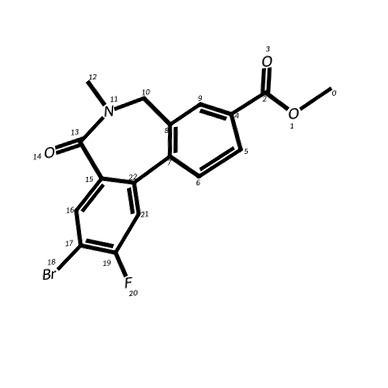 COC(=O)c1ccc2c(c1)CN(C)C(=O)c1cc(Br)c(F)cc1-2